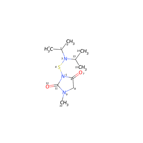 CC(C)N(SN1C(=O)CN(C)C1=O)C(C)C